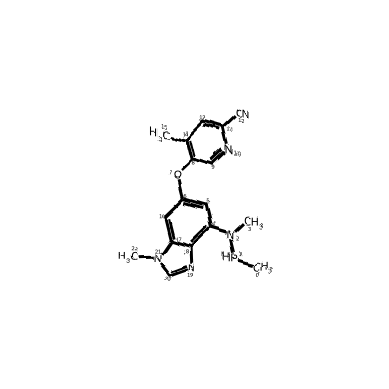 CPN(C)c1cc(Oc2cnc(C#N)cc2C)cc2c1ncn2C